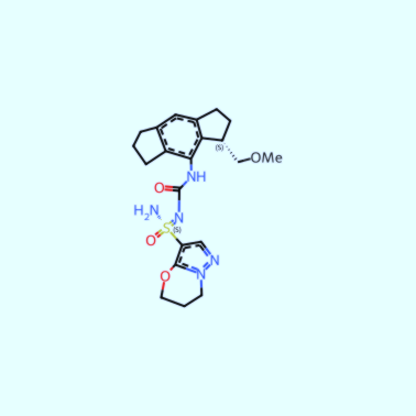 COC[C@H]1CCc2cc3c(c(NC(=O)N=[S@](N)(=O)c4cnn5c4OCCC5)c21)CCC3